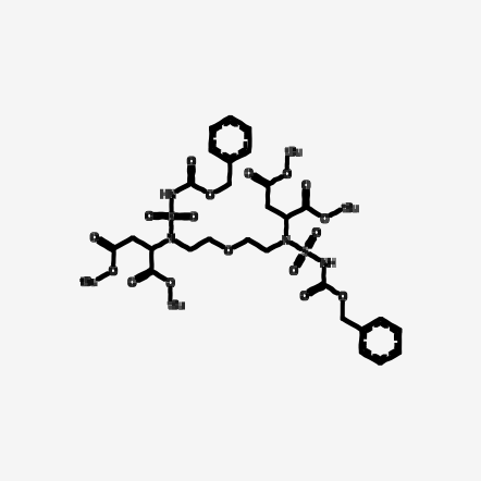 CC(C)(C)OC(=O)CC(C(=O)OC(C)(C)C)N(CCOCCN(C(CC(=O)OC(C)(C)C)C(=O)OC(C)(C)C)S(=O)(=O)NC(=O)OCc1ccccc1)S(=O)(=O)NC(=O)OCc1ccccc1